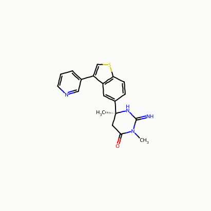 CN1C(=N)N[C@](C)(c2ccc3scc(-c4cccnc4)c3c2)CC1=O